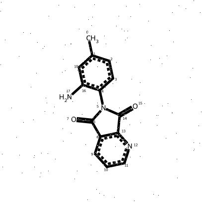 Cc1ccc(N2C(=O)c3cccnc3C2=O)c(N)c1